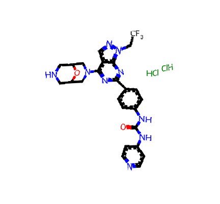 Cl.Cl.O=C(Nc1ccncc1)Nc1ccc(-c2nc(N3CC4CNCC(C3)O4)c3cnn(CC(F)(F)F)c3n2)cc1